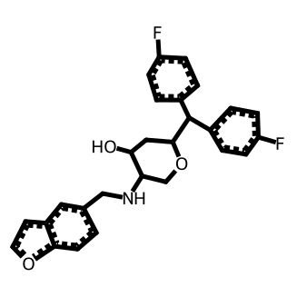 OC1CC(C(c2ccc(F)cc2)c2ccc(F)cc2)OCC1NCc1ccc2occc2c1